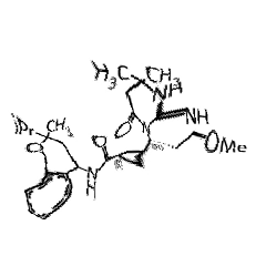 COCC[C@H](C1C[C@H]1C(=O)NC1CC(C)(C(C)C)Oc2ccccc21)N1C(=N)NC(C)(C)CC1=O